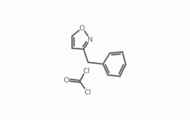 O=C(Cl)Cl.c1ccc(Cc2ccon2)cc1